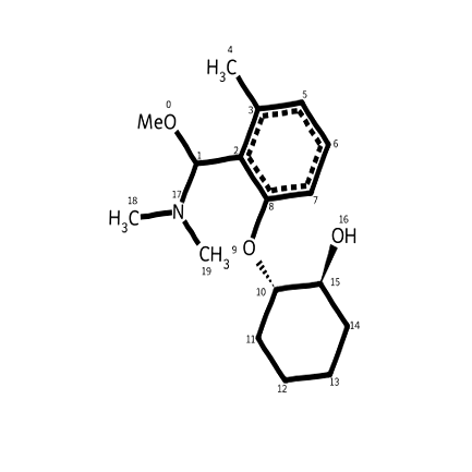 COC(c1c(C)cccc1O[C@H]1CCCC[C@@H]1O)N(C)C